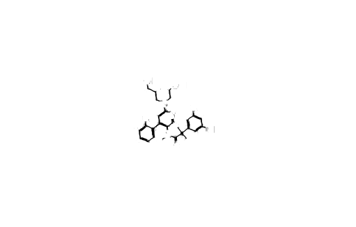 CN(C(=O)C(C)(C)c1cc(C(F)(F)F)cc(C(F)(F)F)c1)c1cnc(N(CCO)CCCO)cc1-c1ccccc1Cl